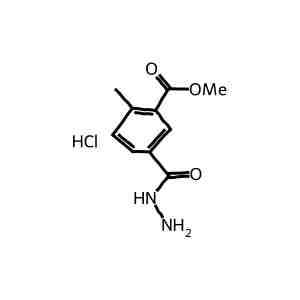 COC(=O)c1cc(C(=O)NN)ccc1C.Cl